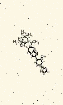 CN(c1ccn2cc(-c3ccc(-n4nccn4)cc3O)nc2n1)C1CC(C)(C)NC(C)(C)C1